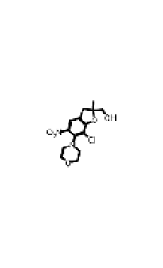 CC1(CO)Cc2cc([N+](=O)[O-])c(N3CCOCC3)c(Cl)c2O1